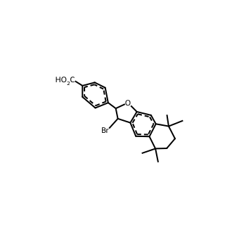 CC1(C)CCC(C)(C)c2cc3c(cc21)OC(c1ccc(C(=O)O)cc1)C3Br